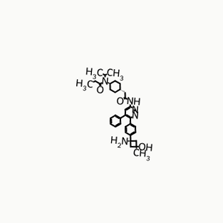 CCC(=O)N(C(C)C)[C@H]1CC[C@H](CC(=O)Nc2cc(-c3ccccc3)c(-c3ccc([C@]4(N)C[C@](C)(O)C4)cc3)nn2)CC1